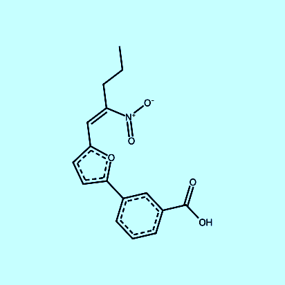 CCCC(=Cc1ccc(-c2cccc(C(=O)O)c2)o1)[N+](=O)[O-]